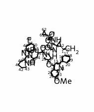 C=C[C@@H]1C[C@]1(NC(=O)[C@@H]1C[C@@H](Oc2cc(-c3ccccc3)nc3cc(OC)ccc23)CN1C(=O)[C@@H](CC(=O)n1c(C2CCCCN2)nc2cc(F)ccc21)C(C)(C)C)C(=O)NS(=O)(=O)C1CC1